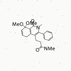 CNC(=O)CCc1c2c(c(=O)n(C)c1-c1ccccc1)C(OC)(OC)C=CC2